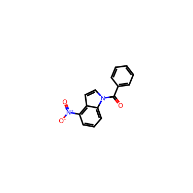 O=C(c1ccccc1)n1ccc2c([N+](=O)[O-])cccc21